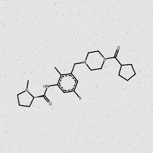 Cc1c(CN2CCN(C(=O)C3CCCC3)CC2)cc(F)cc1NC(=O)[C@H]1CCCN1C